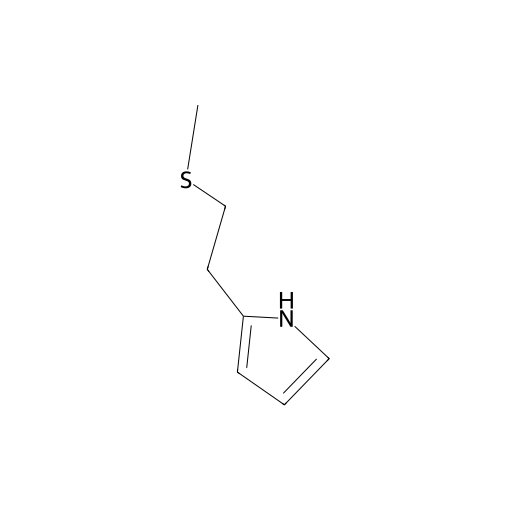 CSCCc1ccc[nH]1